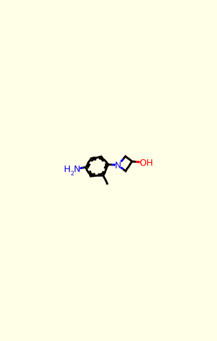 Cc1cc(N)ccc1N1CC(O)C1